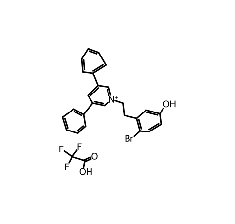 O=C(O)C(F)(F)F.Oc1ccc(Br)c(CC[n+]2cc(-c3ccccc3)cc(-c3ccccc3)c2)c1